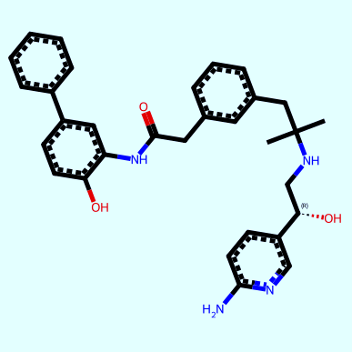 CC(C)(Cc1cccc(CC(=O)Nc2cc(-c3ccccc3)ccc2O)c1)NC[C@H](O)c1ccc(N)nc1